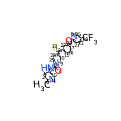 Cc1ccc(NC(=O)N2CCC(=C(F)c3cccc(Oc4ccc(C(F)(F)F)cn4)c3)CC2)cn1